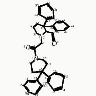 O=CC1N(CC(=O)N2CCC(c3ccccc3)(c3ccccc3)CC2)CCCC1(c1ccccc1)c1ccccc1